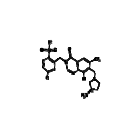 CCS(=O)(=O)c1ccc(Cl)cc1Cn1cnc2c(Cl)c(CN3CC[C@@H](N)C3)c(C(F)(F)F)cc2c1=O